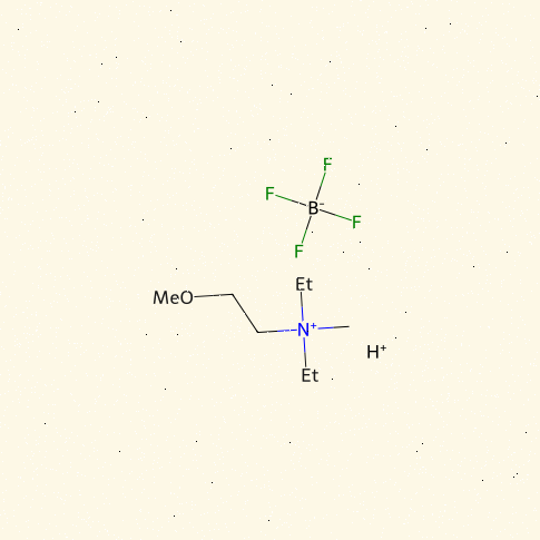 CC[N+](C)(CC)CCOC.F[B-](F)(F)F.[H+]